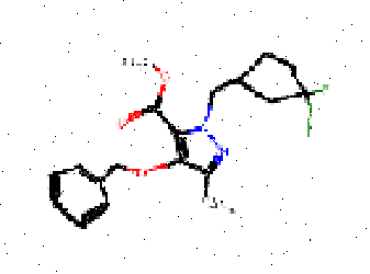 COC(=O)c1c(OCc2ccccc2)c(C)nn1CC1CCC(F)(F)C1